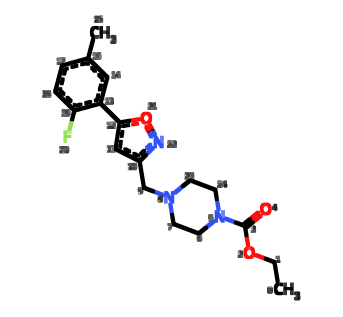 CCOC(=O)N1CCN(Cc2cc(-c3cc(C)ccc3F)on2)CC1